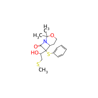 CSCC(O)C1(Sc2ccccc2)C(=O)N2C1CCOC2(C)C